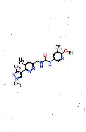 CCOc1ncc(NC(=O)NCc2cc(C)c(-c3cn(C)nc3C(F)(F)F)nn2)cc1C(F)(F)F